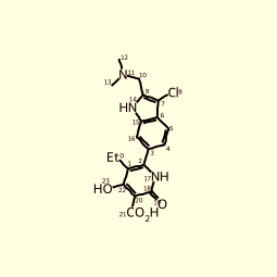 CCc1c(-c2ccc3c(Cl)c(CN(C)C)[nH]c3c2)[nH]c(=O)c(C(=O)O)c1O